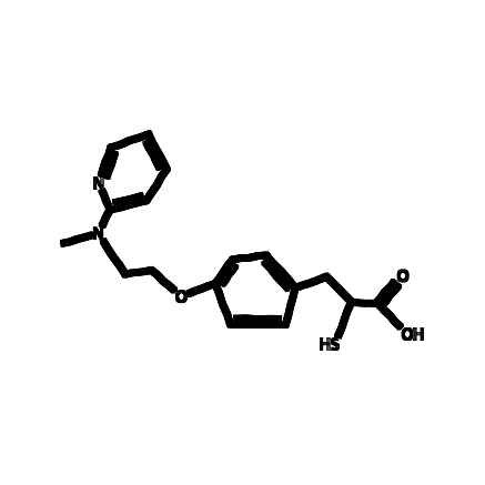 CN(CCOc1ccc(CC(S)C(=O)O)cc1)c1ccccn1